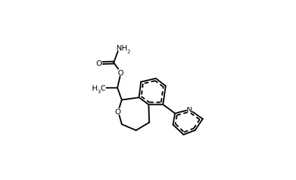 CC(OC(N)=O)C1OCCCc2c(-c3ccccn3)cccc21